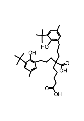 Cc1cc(CCCC(CCCCC(=O)O)(CCCc2cc(C)cc(C(C)(C)C)c2O)C(=O)O)c(O)c(C(C)(C)C)c1